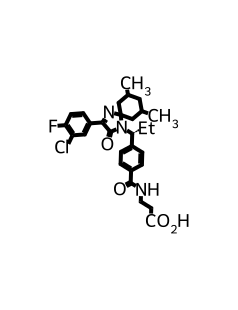 CC[C@H](c1ccc(C(=O)NCCC(=O)O)cc1)N1C(=O)C(c2ccc(F)c(Cl)c2)=NC12CC(C)CC(C)C2